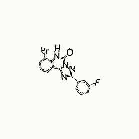 O=c1[nH]c2c(Br)cccc2c2nc(-c3cccc(F)c3)nn12